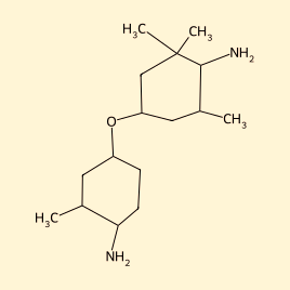 CC1CC(OC2CC(C)C(N)C(C)(C)C2)CCC1N